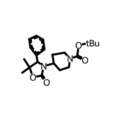 CC(C)(C)OC(=O)N1CCC(N2C(=O)OC(C)(C)C2c2ccccc2)CC1